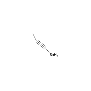 CC#[C][SnH3]